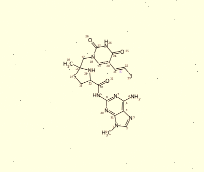 Cn1cnc2c(N)nc(NC(=O)C3CSC(C)(Cn4cc(/C=C/I)c(=O)[nH]c4=O)N3)nc21